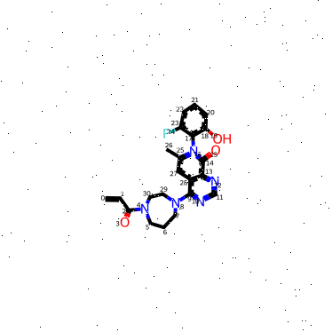 C=CC(=O)N1CCCN(c2ncnc3c(=O)n(-c4c(O)cccc4F)c(C)cc23)CC1